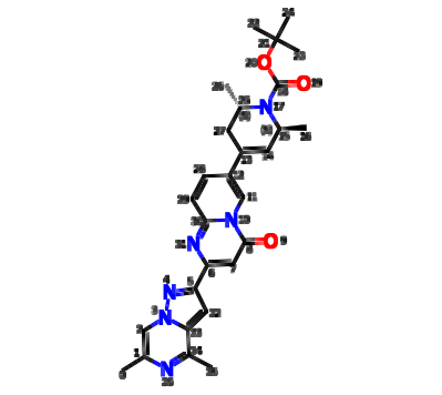 Cc1cn2nc(-c3cc(=O)n4cc(C5=C[C@H](C)N(C(=O)OC(C)(C)C)[C@@H](C)C5)ccc4n3)cc2c(C)n1